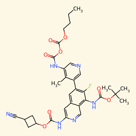 CCCCOC(=O)OC(=O)Nc1cncc(-c2cc3cc(NC(=O)OC4CC(C#N)C4)ncc3c(NC(=O)OC(C)(C)C)c2F)c1C